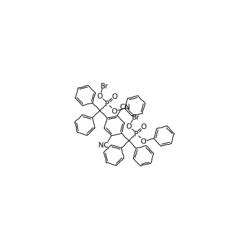 N#Cc1cc(C(c2ccccc2)(c2ccccc2)P(=O)(OBr)Oc2ccccc2)c(C#N)cc1C(c1ccccc1)(c1ccccc1)P(=O)(OBr)Oc1ccccc1